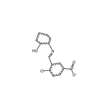 O=[N+]([O-])c1ccc(Cl)c(/C=N/c2ccccc2O)c1